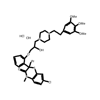 COc1cc(CCN2CCN(CC(O)COc3ccccc3C3(C(C)C)Sc4cc(Cl)ccc4N(C)C3=O)CC2)cc(OC)c1OC.Cl.Cl